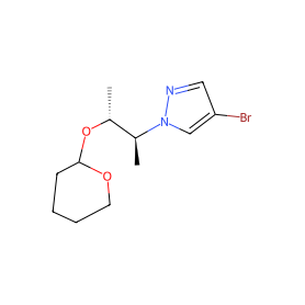 C[C@@H](OC1CCCCO1)[C@H](C)n1cc(Br)cn1